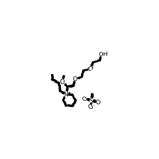 CCCC[N+]1(C(COCCOCCO)OC)CCCCC1.CS(=O)(=O)[O-]